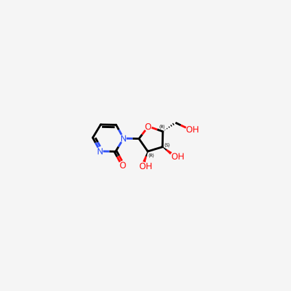 O=c1ncccn1C1O[C@H](CO)[C@@H](O)[C@H]1O